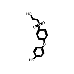 O=S(=O)(CCO)c1ccc(Oc2ccc(S)cc2)cc1